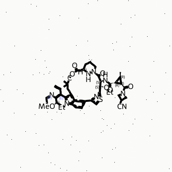 C=C/C(=C(\N=C/C)[C@H](C)OC)c1c2c3cc(ccc3n1CC)-c1csc(n1)[C@@H](OCC)[C@H](NC(=O)[C@@H]1[C@@H](C)[C@H]1C(=O)N1CC(C#N)C1)C(=O)N1CCC[C@H](N1)C(=O)OCC(C)(C)C2